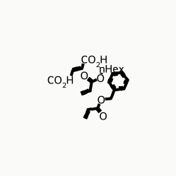 C=CC(=O)OCCCCCC.C=CC(=O)OCc1ccccc1.O=C(O)C=CC(=O)O